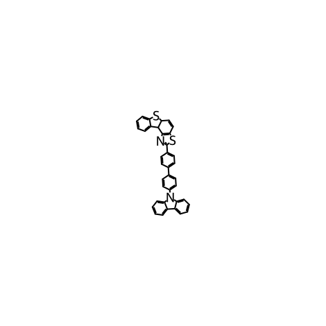 C1=CC2Sc3ccccc3C2c2nc(-c3ccc(-c4ccc(-n5c6ccccc6c6ccccc65)cc4)cc3)sc21